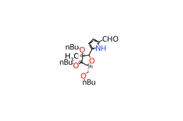 CCCCOC[C@H]1OC(c2ccc(C=O)[nH]2)[C@](C)(OCCCC)[C@@H]1OCCCC